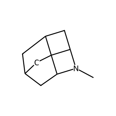 CN1C2CC3CC4CC1C42C3